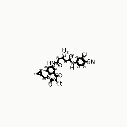 CCn1c(=O)c2cc(NC(=O)CC(C)CC(=O)Nc3ccc(C#N)c(Cl)c3)ccc2n(CC2CC2)c1=O